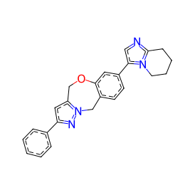 c1ccc(-c2cc3n(n2)Cc2ccc(-c4cnc5n4CCCC5)cc2OC3)cc1